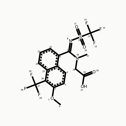 COc1ccc2c(/C(=N/S(=O)(=O)C(F)(F)F)N(C)CC(=O)O)cccc2c1C(F)(F)F